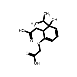 CC(C)C1(O)C=CC=C(OCC(=O)O)C1CC(=O)O